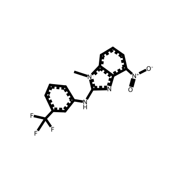 Cn1c(Nc2cccc(C(F)(F)F)c2)nc2c([N+](=O)[O-])cccc21